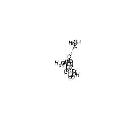 CC[C@@]1(O)C(=O)OCc2c1cc1n(c2=O)Cc2c-1nc1ccc(OCCCCCCC(=O)NO)cc1c2[Si](C)(C)C(C)(C)C